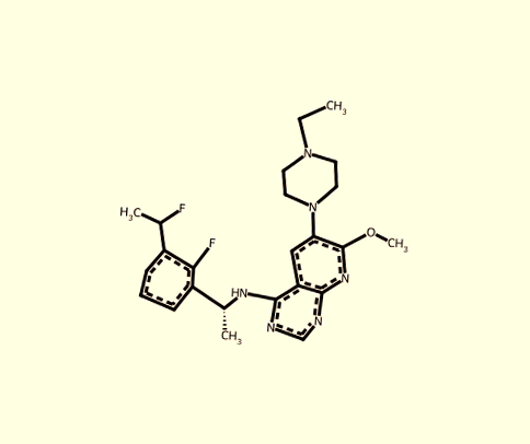 CCN1CCN(c2cc3c(N[C@H](C)c4cccc(C(C)F)c4F)ncnc3nc2OC)CC1